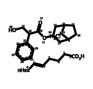 CCCCCCC=CCCCC(=O)O.CN1C2CCC1CC(OC(=O)C(CO)c1ccccc1)C2